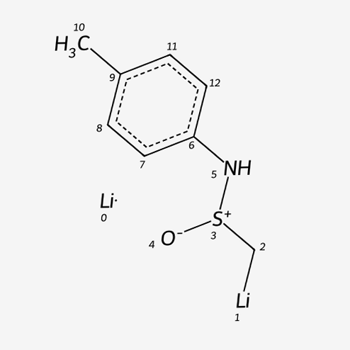 [Li].[Li][CH2][S+]([O-])Nc1ccc(C)cc1